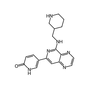 O=c1ccc(-c2cc3nccnc3c(NCC3CCCNC3)n2)c[nH]1